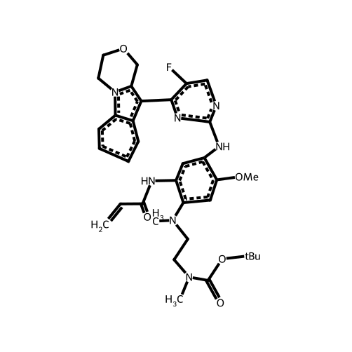 C=CC(=O)Nc1cc(Nc2ncc(F)c(-c3c4n(c5ccccc35)CCOC4)n2)c(OC)cc1N(C)CCN(C)C(=O)OC(C)(C)C